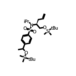 C=CC[C@@H](CO[Si](C)(C)C(C)(C)C)N(C(C)C)S(=O)(=O)c1ccc(C(C)O[Si](C)(C)C(C)(C)C)cc1